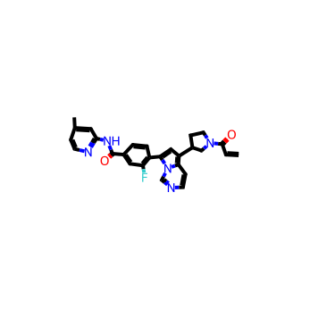 C=CC(=O)N1CCC(c2cc(-c3ccc(C(=O)Nc4cc(C)ccn4)cc3F)n3cnccc23)C1